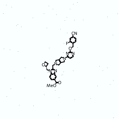 COC(=O)c1ccc2c(c1)nc(CN1CC3=C(C1)CN(c1ccnc(OCc4ccc(C#N)cc4F)n1)C3)n2C[C@@H]1CCO1